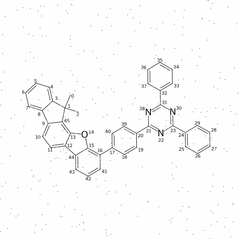 CC1(C)c2ccccc2-c2ccc3c(oc4c(-c5ccc(-c6nc(-c7ccccc7)nc(-c7ccccc7)n6)cc5)cccc43)c21